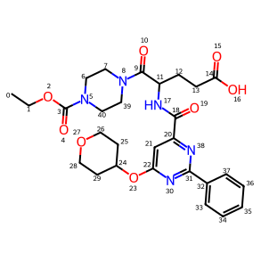 CCOC(=O)N1CCN(C(=O)C(CCC(=O)O)NC(=O)c2cc(OC3CCOCC3)nc(-c3ccccc3)n2)CC1